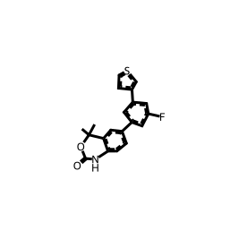 CC1(C)OC(=O)Nc2ccc(-c3cc(F)cc(-c4ccsc4)c3)cc21